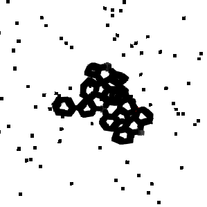 c1ccc(-c2ccc(N(c3cccc4c3-c3ccccc3C43c4ccccc4Oc4ccccc43)c3cccc4c3-c3c(ccc5ccccc35)C43c4ccccc4Oc4ccccc43)cc2)cc1